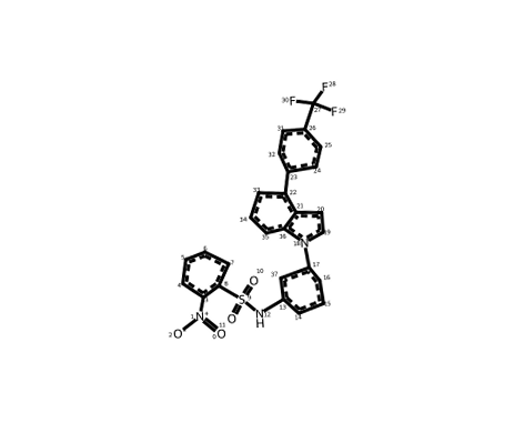 O=[N+]([O-])c1ccccc1S(=O)(=O)Nc1cccc(-n2ccc3c(-c4ccc(C(F)(F)F)cc4)cccc32)c1